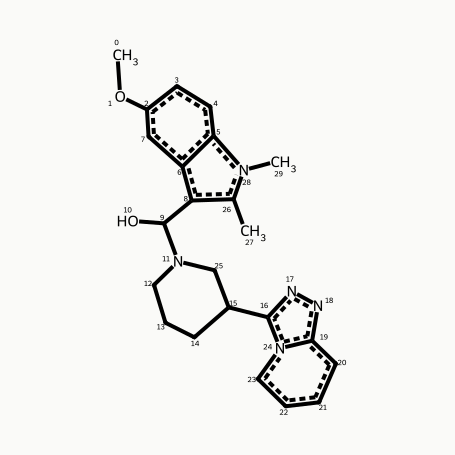 COc1ccc2c(c1)c(C(O)N1CCCC(c3nnc4ccccn34)C1)c(C)n2C